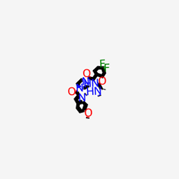 CN[C@@H](C)C(=O)N[C@H](C(=O)N1CCN(C(=O)c2cc3ccc(OC)cc3n2C)CC1)C1CCC(F)(F)CC1